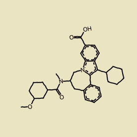 COC1CCCC(C(=O)N(C)C2Cc3ccccc3-c3c(C4CCCCC4)c4ccc(C(=O)O)cc4n3C2)C1